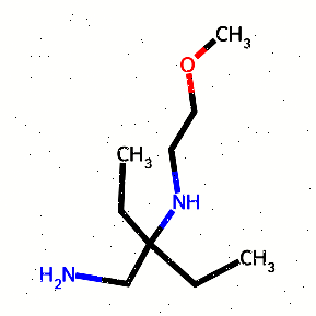 CCC(CC)(CN)NCCOC